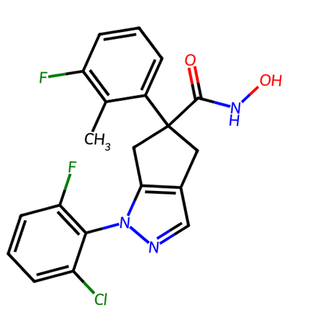 Cc1c(F)cccc1C1(C(=O)NO)Cc2cnn(-c3c(F)cccc3Cl)c2C1